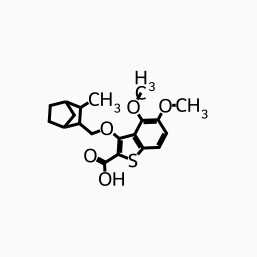 COc1ccc2sc(C(=O)O)c(OCC3C4CCC(C4)C3C)c2c1OC